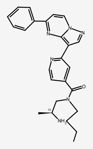 CCCCN(C[C@H](C)N)C(=O)c1ccnc(-c2cnn3ccc(-c4ccccc4)nc23)c1